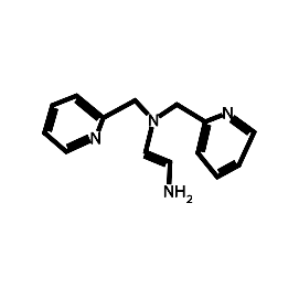 N/C=C/N(Cc1ccccn1)Cc1ccccn1